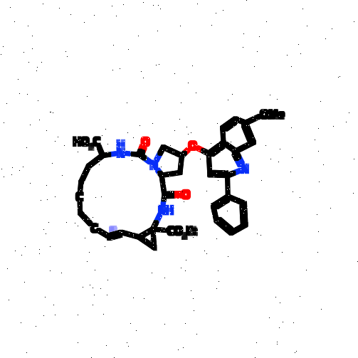 CCOC(=O)C12CC1/C=C/CCCCCC(C(=O)O)NC(=O)N1CC(Oc3cc(-c4ccccc4)nc4cc(OC)ccc34)CC1C(=O)N2